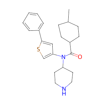 CC1CCC(C(=O)N(c2csc(-c3ccccc3)c2)C2CCNCC2)CC1